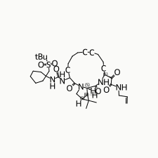 C=CCNC(=O)C(=O)[C@@H]1CCCCCCCCCC(NC(=O)NC2(CS(=O)(=O)C(C)(C)C)CCCCC2)C(=O)N2C[C@H]3[C@@H]([C@H]2C(=O)N1)C3(C)C